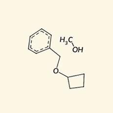 CO.c1ccc(COC2CCC2)cc1